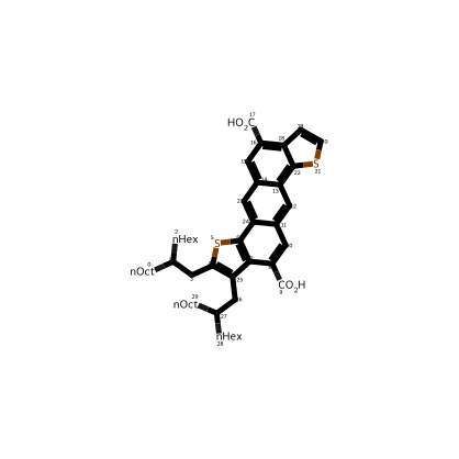 CCCCCCCCC(CCCCCC)Cc1sc2c(c(C(=O)O)cc3cc4c(cc(C(=O)O)c5ccsc54)cc32)c1CC(CCCCCC)CCCCCCCC